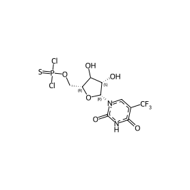 O=c1[nH]c(=O)n([C@@H]2O[C@H](COP(=S)(Cl)Cl)C(O)[C@@H]2O)cc1C(F)(F)F